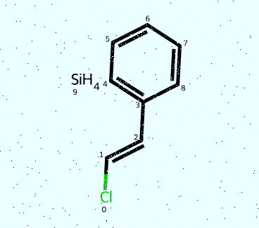 ClC=Cc1ccccc1.[SiH4]